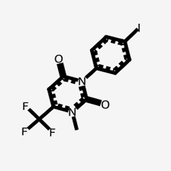 Cn1c(C(F)(F)F)cc(=O)n(-c2ccc(I)cc2)c1=O